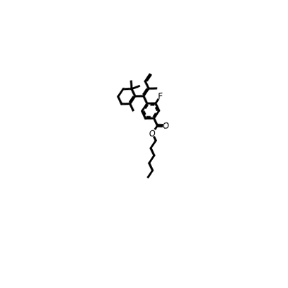 C=CC(C)=C(C1=C(C)CCCC1(C)C)c1ccc(C(=O)OCCCCCC)cc1F